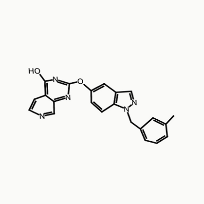 Cc1cccc(Cn2ncc3cc(Oc4nc(O)c5ccncc5n4)ccc32)c1